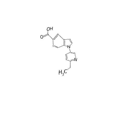 CCc1ccc(-n2ccc3cc(C(=O)O)ccc32)cn1